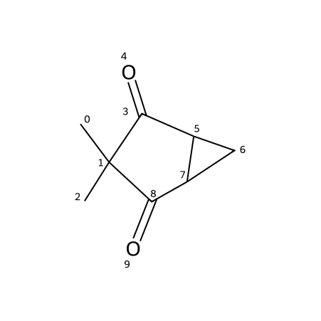 CC1(C)C(=O)C2CC2C1=O